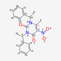 Cc1c([N+](=O)[O-])c(=O)n(C(C)c2ccccc2)c(=O)n1C(C)c1ccccc1